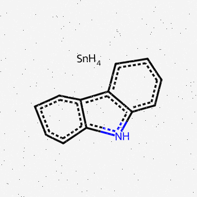 [SnH4].c1ccc2c(c1)[nH]c1ccccc12